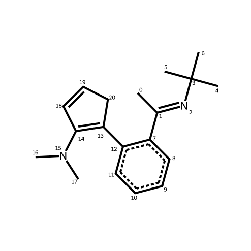 C/C(=N\C(C)(C)C)c1ccccc1C1=C(N(C)C)C=CC1